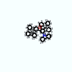 C1=CCC([Si](c2ccccc2)(c2ccccc2)c2cc(-n3c4ccccc4c4ccccc43)cc3c2oc2ccc([Si](c4ccccc4)(c4ccccc4)c4ccccc4)cc23)C=C1